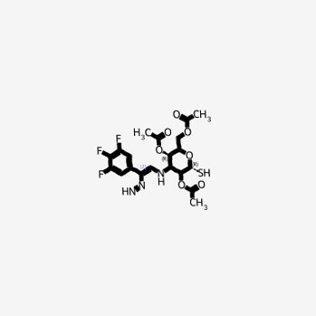 CC(=O)OCC1O[C@H](S)C(OC(C)=O)C(N/C=C(\N=N)c2cc(F)c(F)c(F)c2)[C@H]1OC(C)=O